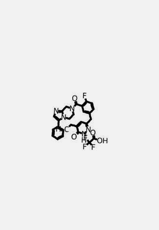 CCc1cc(Cc2ccc(F)c(C(=O)N3CCn4c(-c5ccccc5)cnc4C3)c2)n[nH]c1=O.O=C(O)C(F)(F)F